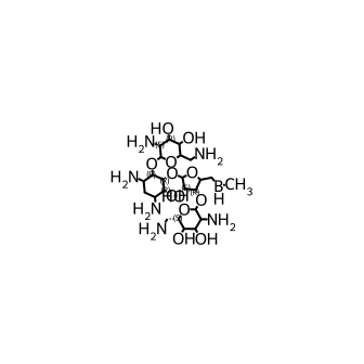 CBCC1OC(O[C@@H]2[C@H](O)C(N)CC(N)[C@H]2OC2OC(CN)C(O)[C@H](O)[C@@H]2N)[C@@H](O)[C@H]1OC1O[C@@H](CN)C(O)C(O)C1N